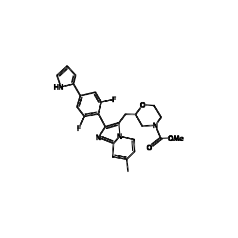 COC(=O)N1CCOC(Cc2c(-c3c(F)cc(-c4ccc[nH]4)cc3F)nc3cc(C)ccn23)C1